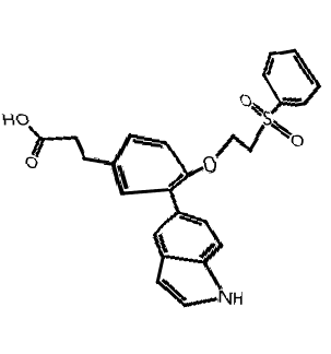 O=C(O)CCc1ccc(OCCS(=O)(=O)c2ccccc2)c(-c2ccc3[nH]ccc3c2)c1